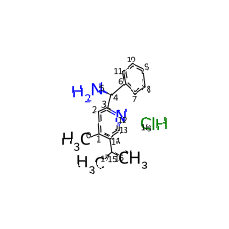 Cc1cc([C@@H](N)c2ccccc2)ncc1C(C)C.Cl